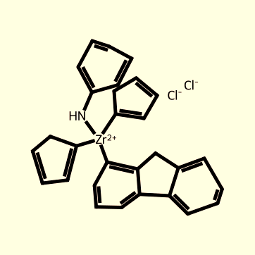 C1=CC[C]([Zr+2]([NH]c2ccccc2)([C]2=CC=CC2)[c]2cccc3c2Cc2ccccc2-3)=C1.[Cl-].[Cl-]